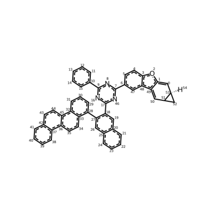 C1=c2oc3ccc(-c4nc(-c5ccccc5)nc(-c5cc6ccccc6cc5-c5cccc6c5ccc5c7ccccc7ccc65)n4)cc3c2=CC2C[C@H]12